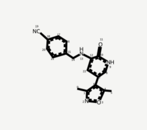 Cc1noc(C)c1-c1c[nH]c(=O)c(NCc2ccc(C#N)cc2)c1